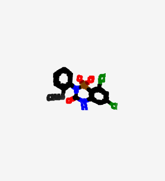 COc1ccccc1N1C(=O)Nc2cc(Cl)cc(Cl)c2S1(=O)=O